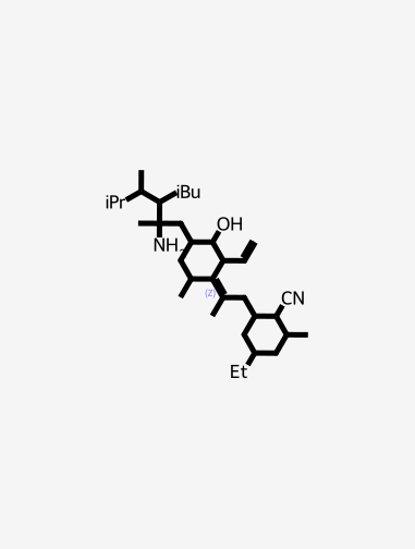 C=CC1/C(=C(/C)CC2CC(CC)CC(C)C2C#N)C(C)CC(CC(C)(N)C(C(C)CC)C(C)C(C)C)C1O